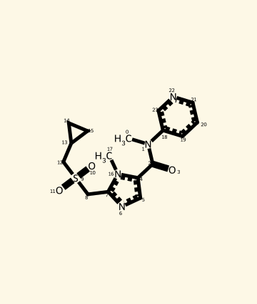 CN(C(=O)c1cnc(CS(=O)(=O)CC2CC2)n1C)c1cccnc1